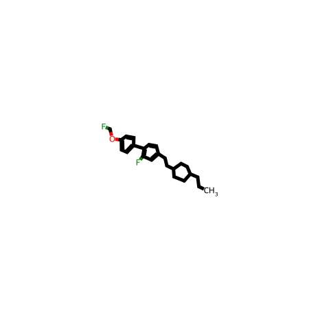 CCCC1CCC(CCc2ccc(-c3ccc(OCF)cc3)c(F)c2)CC1